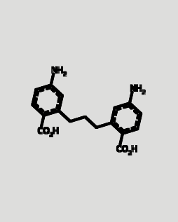 Nc1ccc(C(=O)O)c(CCCc2cc(N)ccc2C(=O)O)c1